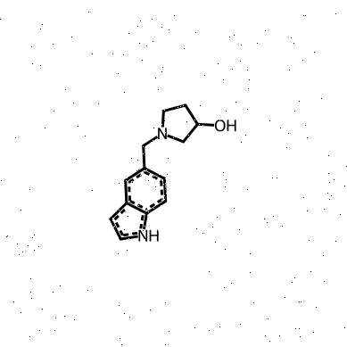 OC1CCN(Cc2ccc3[nH]ccc3c2)C1